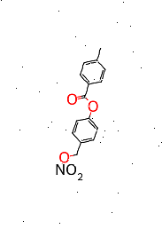 Cc1ccc(C(=O)Oc2ccc(CO[N+](=O)[O-])cc2)cc1